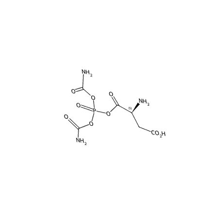 NC(=O)OP(=O)(OC(N)=O)OC(=O)[C@@H](N)CC(=O)O